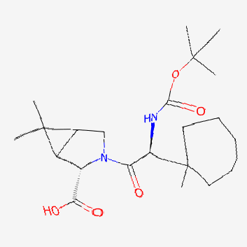 CC(C)(C)OC(=O)N[C@H](C(=O)N1CC2C([C@H]1C(=O)O)C2(C)C)C1(C)CCCCC1